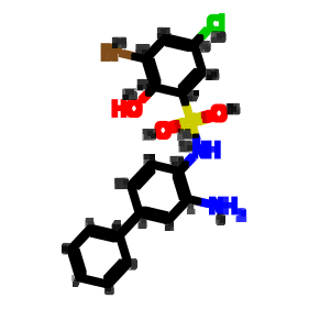 Nc1cc(-c2ccccc2)ccc1NS(=O)(=O)c1cc(Cl)cc(Br)c1O